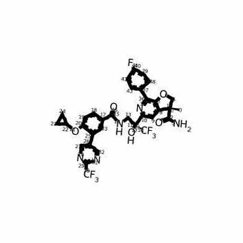 C[C@]1(C(N)=O)COc2c1cc([C@@](O)(CNC(=O)c1ccc(OC3CC3)c(-c3cnc(C(F)(F)F)nc3)c1)C(F)(F)F)nc2-c1ccc(F)cc1